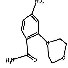 NC(=O)c1ccc([N+](=O)[O-])cc1N1CCOCC1